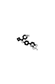 Cn1nc(-c2ccc(OC(C3CCC3)C3CCNCC3)cc2)ccc1=O